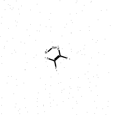 FC(F)=C(F)F.[Br][SbH2]